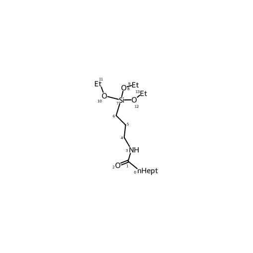 CCCCCCCC(=O)NCCC[Si](OCC)(OCC)OCC